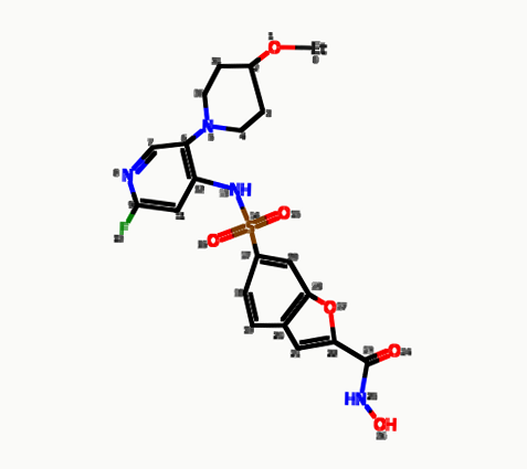 CCOC1CCN(c2cnc(F)cc2NS(=O)(=O)c2ccc3cc(C(=O)NO)oc3c2)CC1